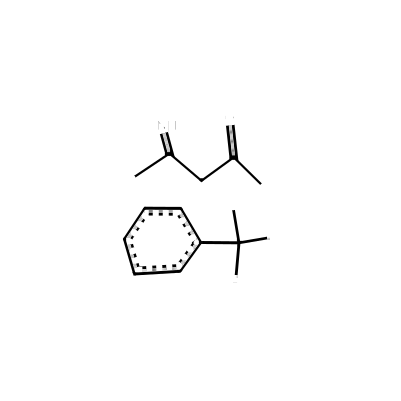 CC(=N)CC(C)=O.FC(F)(F)c1ccccc1